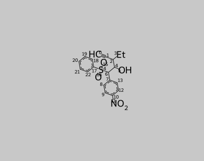 C#CC(CC)C(O)C(c1ccc([N+](=O)[O-])cc1)S(=O)(=O)c1ccccc1